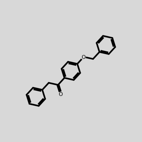 O=C(Cc1ccccc1)c1ccc(OCc2ccccc2)cc1